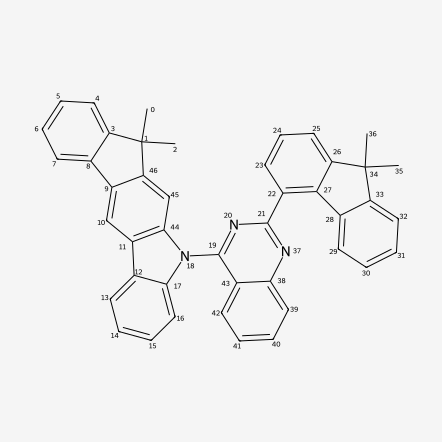 CC1(C)c2ccccc2-c2cc3c4ccccc4n(-c4nc(-c5cccc6c5-c5ccccc5C6(C)C)nc5ccccc45)c3cc21